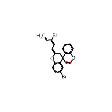 C=C/C(Br)=C\C=C1/CC2(c3cc(Br)ccc3O1)c1ccccc1Oc1ccccc12